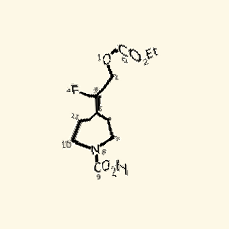 CCOC(=O)OCC(F)=C1CCN(C(=O)O)CC1